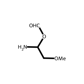 COCC(N)OC=O